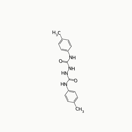 Cc1ccc(NC(=O)NNC(=O)Nc2ccc(C)cc2)cc1